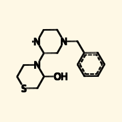 OC1CSCCN1C1CN(Cc2ccccc2)CC[N]1